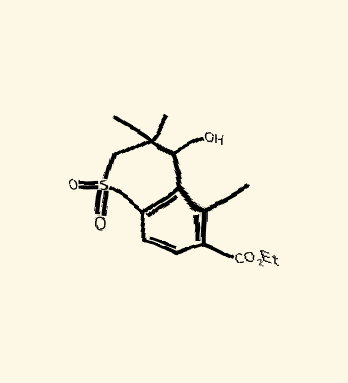 CCOC(=O)c1ccc2c(c1C)C(O)C(C)(C)CS2(=O)=O